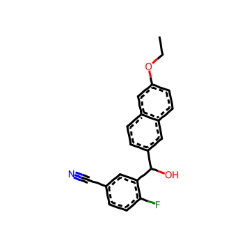 CCOc1ccc2cc(C(O)c3cc(C#N)ccc3F)ccc2c1